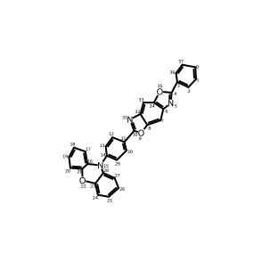 c1ccc(-c2nc3cc4oc(-c5ccc(N6c7ccccc7Oc7ccccc76)cc5)nc4cc3o2)cc1